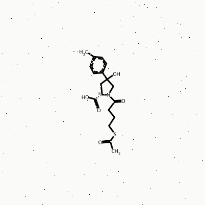 CC(=O)SCCCC(=O)N1CC(O)(c2ccc(C)cc2)C[C@H]1C(=O)O